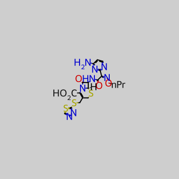 CCCO/N=C(\C(=O)NC1C(=O)N2C(C(=O)O)=C(CSc3nncs3)CS[C@H]12)c1nccc(N)n1